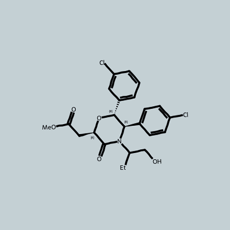 CCC(CO)N1C(=O)[C@@H](CC(=O)OC)O[C@H](c2cccc(Cl)c2)[C@H]1c1ccc(Cl)cc1